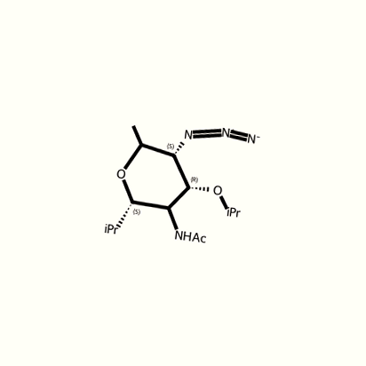 CC(=O)NC1[C@H](C(C)C)OC(C)[C@H](N=[N+]=[N-])[C@@H]1OC(C)C